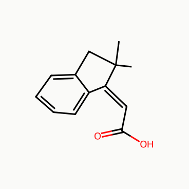 CC1(C)Cc2ccccc2C1=CC(=O)O